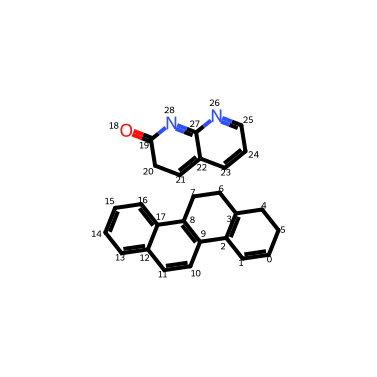 C1=CC2=C(CC1)CCc1c2ccc2ccccc12.O=C1CC=c2cccnc2=N1